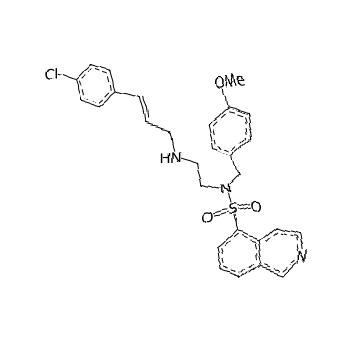 COc1ccc(CN(CCNCC=Cc2ccc(Cl)cc2)S(=O)(=O)c2cccc3cnccc23)cc1